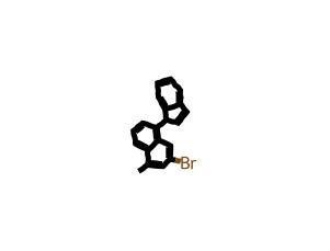 Cc1cc(Br)cc2c(C3C=Cc4ccccc43)cccc12